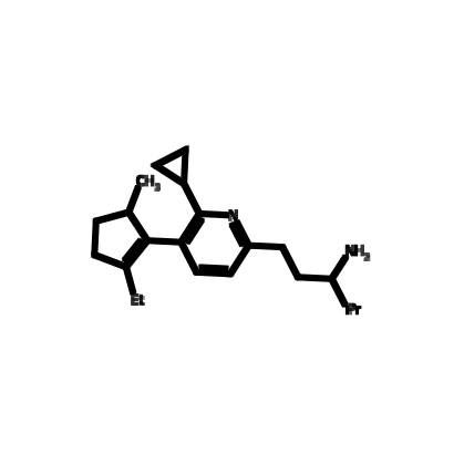 CCC1=C(c2ccc(CCC(N)C(C)C)nc2C2CC2)C(C)CC1